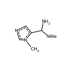 CNC(N)c1cncn1C